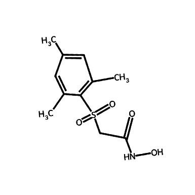 Cc1cc(C)c(S(=O)(=O)CC(=O)NO)c(C)c1